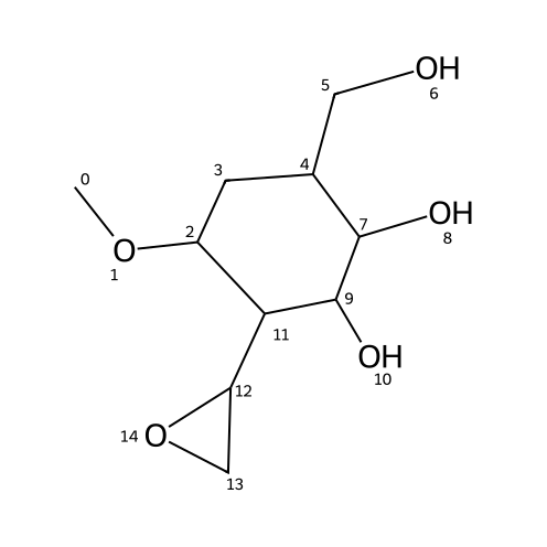 COC1CC(CO)C(O)C(O)C1C1CO1